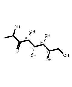 [CH2]C(O)C(=O)[C@H](O)[C@@H](O)[C@H](O)[C@H](O)CO